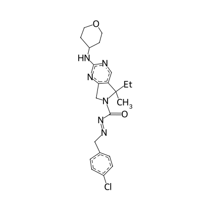 CCC1(C)c2cnc(NC3CCOCC3)nc2CN1C(=O)N=NCc1ccc(Cl)cc1